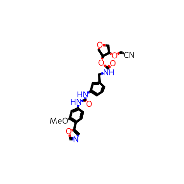 COc1cc(NC(=O)Nc2cccc(CNC(=O)OC3COCC3OCC#N)c2)ccc1-c1cnco1